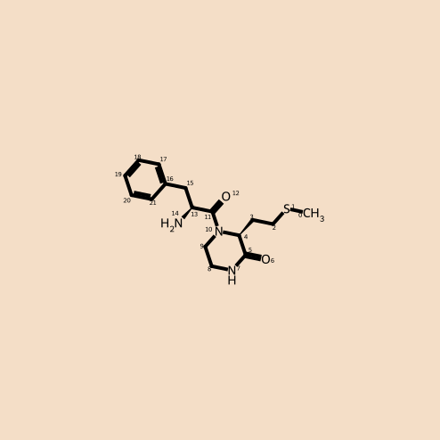 CSCC[C@H]1C(=O)NCCN1C(=O)[C@@H](N)Cc1ccccc1